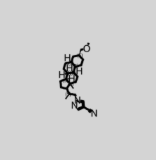 COC[C@H]1CC[C@H]2[C@@H](CC[C@@H]3[C@@H]2CC[C@]2(C)C([C@H](C)Cn4cc(C#N)cn4)CC[C@@H]32)C1